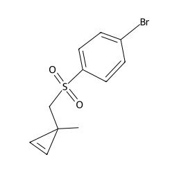 CC1(CS(=O)(=O)c2ccc(Br)cc2)C=C1